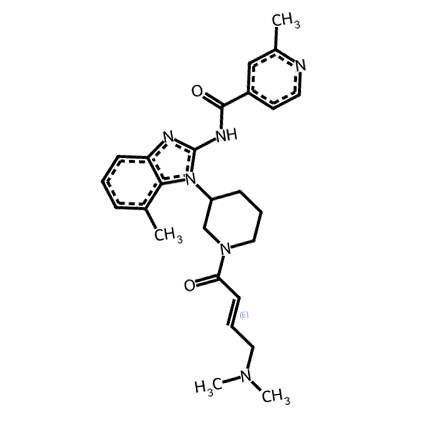 Cc1cc(C(=O)Nc2nc3cccc(C)c3n2C2CCCN(C(=O)/C=C/CN(C)C)C2)ccn1